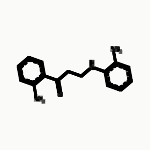 Nc1ccccc1C(=O)CCNc1ccccc1[N+](=O)[O-]